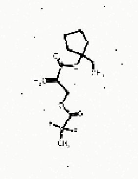 C=C(COC(=O)C(C)(F)F)C(=O)OC1(CC)CCCC1